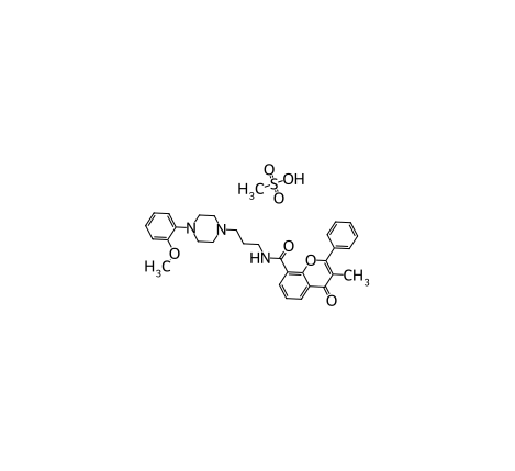 COc1ccccc1N1CCN(CCCNC(=O)c2cccc3c(=O)c(C)c(-c4ccccc4)oc23)CC1.CS(=O)(=O)O